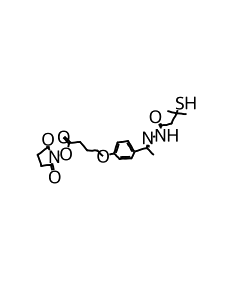 CC(=NNC(=O)CC(C)(C)S)c1ccc(OCCCC(=O)ON2C(=O)CCC2=O)cc1